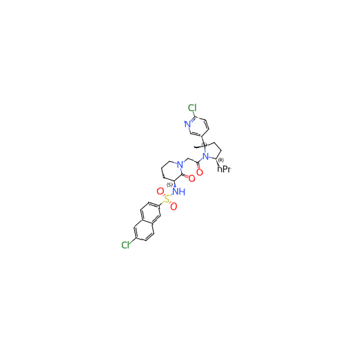 CCC[C@@H]1CC[C@@](C)(c2ccc(Cl)nc2)N1C(=O)CN1CCC[C@H](NS(=O)(=O)c2ccc3cc(Cl)ccc3c2)C1=O